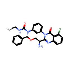 CCNC(=O)Nc1cccc(-n2c(C(N)COCc3ccccc3)nc3cccc(Cl)c3c2=O)c1